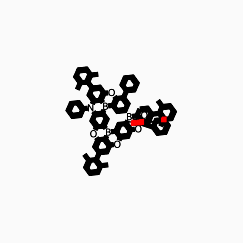 Cc1cccc(C)c1-c1cc2c3c(c1)Oc1cc4c(cc1B3c1cc3c(cc1O2)Oc1cc(-c2c(C)cccc2C)cc2c1B3c1cccc(-c3ccccc3)c1O2)B1c2cccc(-c3ccccc3)c2Oc2cc(-c3c(C)cccc3C)cc(c21)N4c1ccccc1